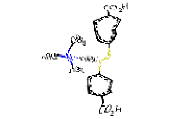 CCCC[N+](CCCC)(CCCC)CCCC.O=C(O)c1ccc(SSc2ccc(C(=O)O)cc2)cc1